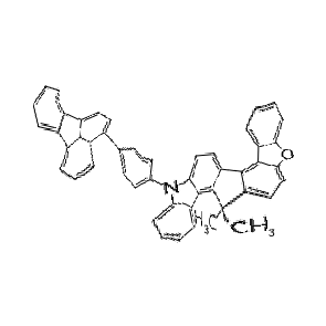 CC1(C)c2ccc3oc4ccccc4c3c2-c2ccc3c(c21)c1ccccc1n3-c1ccc(C2=CC=C3c4ccccc4C4=CC=CC2C43)cc1